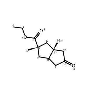 CCOC(=O)[C@@]1(C)CC2CC(=O)C[C@H]2C1